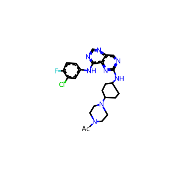 CC(=O)N1CCN(C2CCC(Nc3ncc4ncnc(Nc5ccc(F)c(Cl)c5)c4n3)CC2)CC1